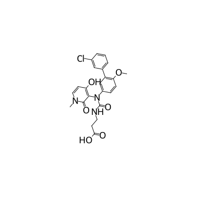 COc1ccc(N(C(=O)NCCC(=O)O)c2c(O)ccn(C)c2=O)cc1-c1cccc(Cl)c1